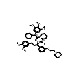 COc1ccc(CCC(OC(=O)[C@@H]2CCCCN2C(=O)[C@H](c2cc(OC)c(OC)c(OC)c2)[C@@H]2C=CCCC2)c2cccc(OCCN3CCOCC3)c2)cc1OC